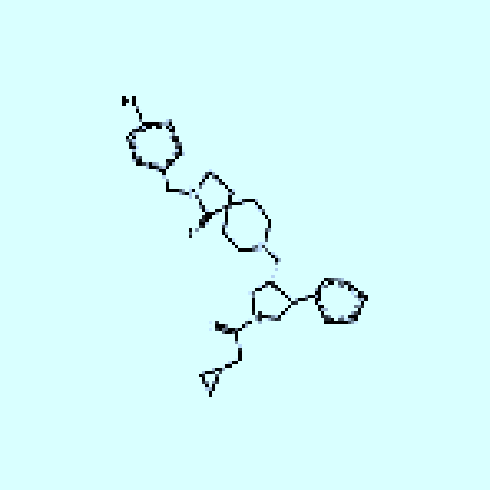 CCc1ccc(CN2CCC3(CCN(C[C@H]4CN(C(=O)CC5CC5)CC4c4ccccc4)CC3)C2=O)cc1